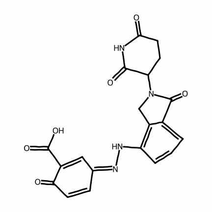 O=C1CCC(N2Cc3c(N/N=C4/C=CC(=O)C(C(=O)O)=C4)cccc3C2=O)C(=O)N1